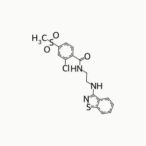 CS(=O)(=O)c1ccc(C(=O)NCCNc2nsc3ccccc23)c(Cl)c1